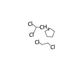 C1CCCC1.CC(Cl)Cl.ClCCCl